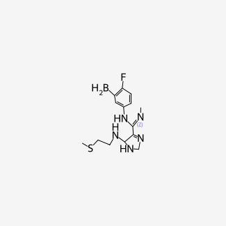 Bc1cc(N/C(=N\C)C2=NCNC2NCCSC)ccc1F